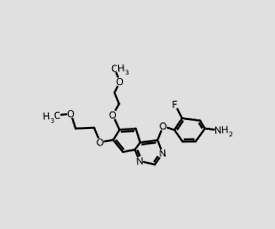 COCCOc1cc2ncnc(Oc3ccc(N)cc3F)c2cc1OCCOC